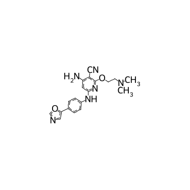 CN(C)CCOc1nc(Nc2ccc(-c3cnco3)cc2)cc(N)c1C#N